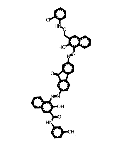 Cc1cccc(NC(=O)c2cc3ccccc3c(N=Nc3ccc4c(c3)C(=O)c3cc(N=Nc5c(O)c(CONc6ccccc6Cl)cc6ccccc56)ccc3-4)c2O)c1